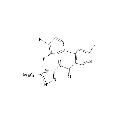 COc1nnc(NC(=O)c2cnc(C)cc2-c2ccc(F)c(F)c2)s1